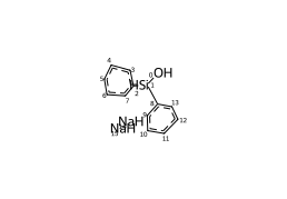 O[SiH](c1ccccc1)c1ccccc1.[NaH].[NaH]